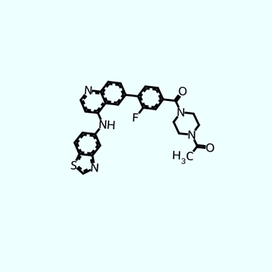 CC(=O)N1CCN(C(=O)c2ccc(-c3ccc4nccc(Nc5ccc6scnc6c5)c4c3)c(F)c2)CC1